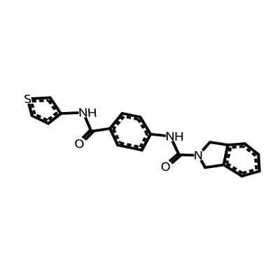 O=C(Nc1ccsc1)c1ccc(NC(=O)N2Cc3ccccc3C2)cc1